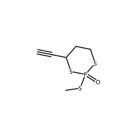 C#CC1CCSP(=O)(SC)S1